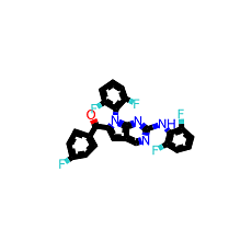 O=C(c1ccc(F)cc1)c1cc2cnc(Nc3c(F)cccc3F)nc2n1-c1c(F)cccc1F